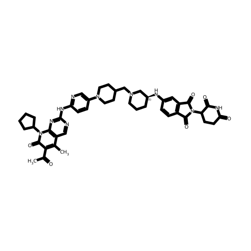 CC(=O)c1c(C)c2cnc(Nc3ccc(N4CCC(CN5CCC[C@H](Nc6ccc7c(c6)C(=O)N(C6CCC(=O)NC6=O)C7=O)C5)CC4)cn3)nc2n(C2CCCC2)c1=O